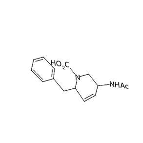 CC(=O)NC1C=CC(Cc2ccccc2)N(C(=O)O)C1